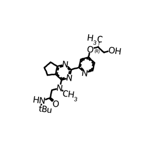 C[C@H](CO)Oc1ccnc(-c2nc3c(c(N(C)CC(=O)NC(C)(C)C)n2)CCC3)c1